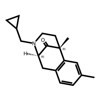 Cc1ccc2c(c1)[C@@]1(C)CCN(CC3CC3)[C@H](C2)C1=O